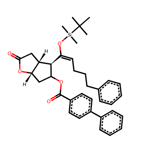 CC(C)(C)[Si](C)(C)O/C(=C/CCCc1ccccc1)[C@H]1C(OC(=O)c2ccc(-c3ccccc3)cc2)C[C@@H]2OC(=O)C[C@@H]21